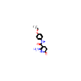 NC1=C(C(=O)Nc2ccc(OCC(F)(F)F)cc2)CCC(=O)N1